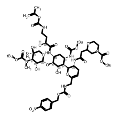 C=C(C)OC(=O)NCC[C@H](O)C(=O)N[C@@H]1C[C@H](NC(=O)OC(C)(C)C)[C@@H](C2OC(CNC(=O)OCc3ccc([N+](=O)[O-])cc3)=CC[C@H]2NC(=O)CC2CN(C(=O)OC(C)(C)C)CCO2)[C@H](O)[C@H]1O[C@H]1OC[C@](C)(O)[C@H](N(C)C(=O)OC(C)(C)C)[C@H]1O